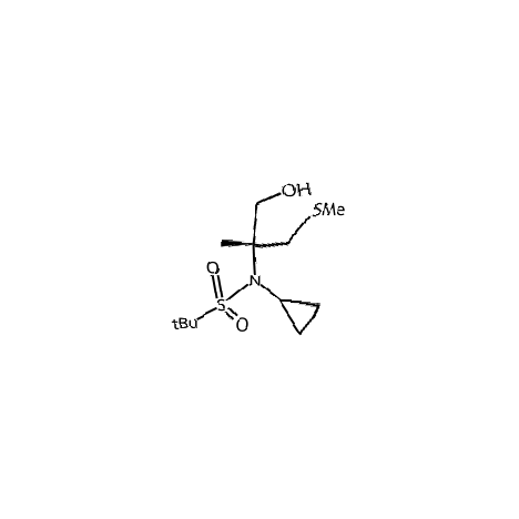 CSC[C@@](C)(CO)N(C1CC1)S(=O)(=O)C(C)(C)C